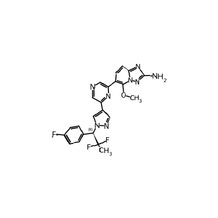 COc1c(-c2cncc(-c3cnn([C@H](c4ccc(F)cc4)C(C)(F)F)c3)n2)ccc2nc(N)nn12